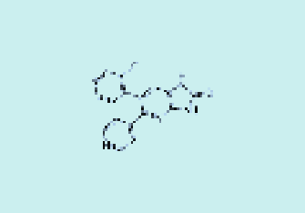 O=c1[nH]c2cc(-c3ccncc3Cl)c(-c3ccncc3)nc2[nH]1